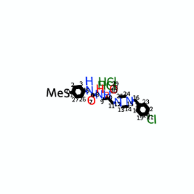 CSc1ccc(NC(=O)NCCCN2CCN(Cc3ccc(Cl)cc3)CC2)cc1.Cl.Cl.O